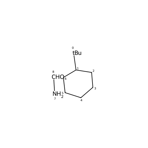 CC(C)(C)C1CCCCC1.NC=O